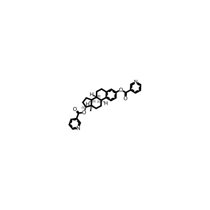 C[C@]12CC[C@@H]3c4ccc(OC(=O)c5cccnc5)cc4CC[C@H]3[C@@H]1CC[C@@H]2OC(=O)c1cccnc1